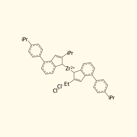 CCC1=Cc2c(-c3ccc(C(C)C)cc3)cccc2[CH]1[Zr+2][CH]1C(C(C)C)=Cc2c(-c3ccc(C(C)C)cc3)cccc21.[Cl-].[Cl-]